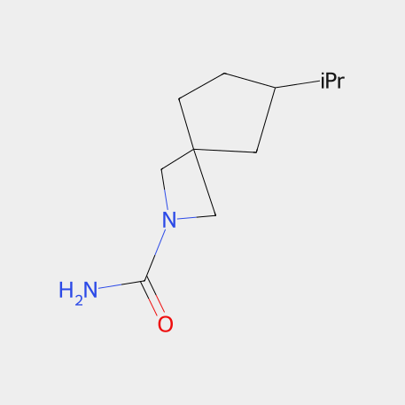 CC(C)C1CCC2(C1)CN(C(N)=O)C2